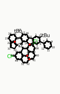 CC(C)(C)c1cc2c(cc1-c1ccccc1)Cc1c-2cc(C(C)(C)C)c(-c2ccccc2)[c]1[Zr]([C]1=CC=CC1)=[C](c1cc(Cl)cc2ccccc12)c1cc(Cl)cc2ccccc12